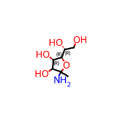 CC1(N)O[C@H]([C@H](O)CO)[C@H](O)C1O